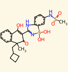 CC1(CC2CCC2)C(=O)C(C2=NS(O)(O)c3cc(NS(C)(=O)=O)ccc3N2)=C(O)c2ccccc21